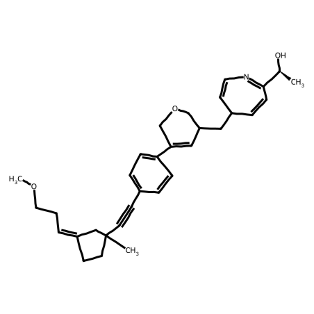 COCC/C=C1/CCC(C)(C#Cc2ccc(C3=CC(CC4C=CN=C([C@H](C)O)C=C4)COC3)cc2)C1